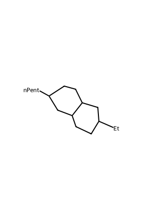 CCCCCC1CCC2CC(CC)CCC2C1